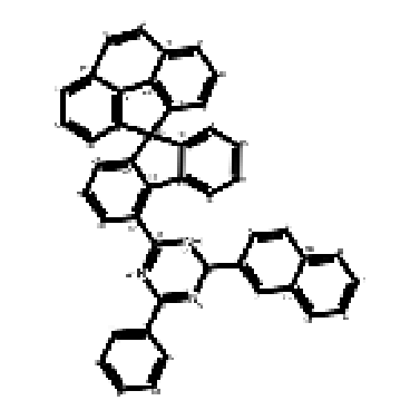 c1ccc(C2=NC(c3ccc4ccccc4c3)NC(c3cccc4c3-c3ccccc3C43c4cccc5ccc6cccc3c6c45)=N2)cc1